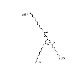 CCCCCCCC/C=C\CCCCCCCCCC(=O)OC[C@@H](COC(=O)CCCCCCCCCCCCCCCC)OC(=O)CCCCCCCCCCCCCCCCCCC